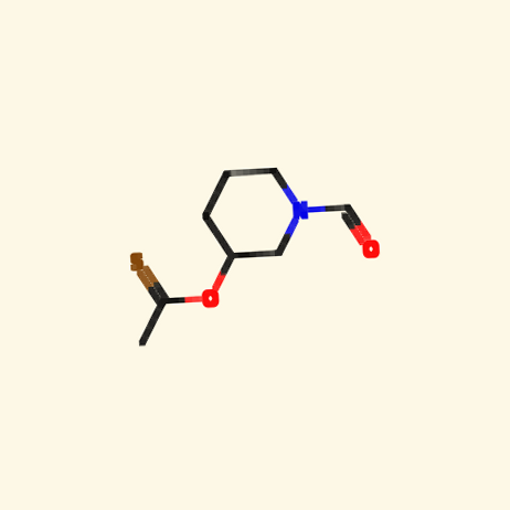 CC(=S)OC1CCCN(C=O)C1